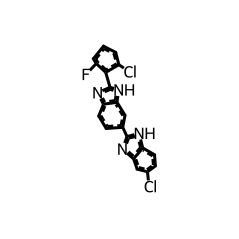 Fc1cccc(Cl)c1-c1nc2ccc(-c3nc4cc(Cl)ccc4[nH]3)cc2[nH]1